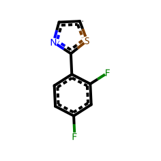 Fc1ccc(-c2nc[c]s2)c(F)c1